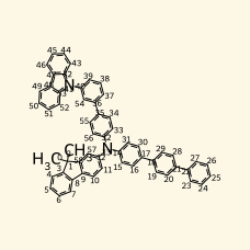 CC1(C)c2ccccc2-c2ccc(N(c3ccc(-c4ccc(-c5ccccc5)cc4)cc3)c3ccc(-c4cccc(-n5c6ccccc6c6ccccc65)c4)cc3)cc21